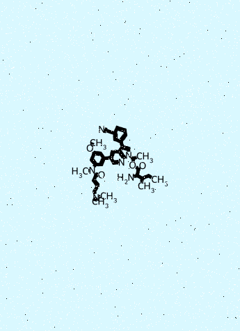 CCC(C)C(N)C(=O)OC(C)n1cc(-c2cccc(C#N)c2)c2cc(-c3cc(OC)cc(N(C)C(=O)/C=C/CN(C)C)c3)cnc21